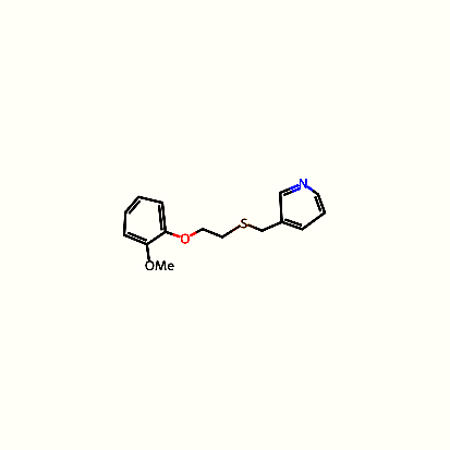 COc1ccccc1OCCSCc1cccnc1